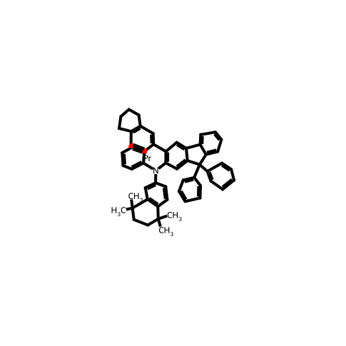 CC(C)c1cc2c(cc1-c1cc3c(cc1N(c1ccccc1)c1ccc4c(c1)C(C)(C)CCC4(C)C)C(c1ccccc1)(c1ccccc1)c1ccccc1-3)CCCC2